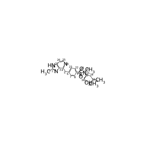 Cc1nc2c(Cc3ccc(S(=O)(=O)N(C)[C@H](CO)CC(C)C)cc3)nccc2[nH]1